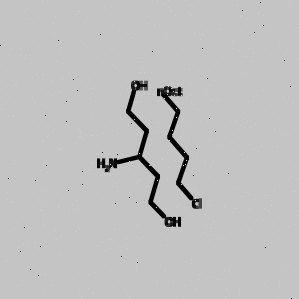 CCCCCCCCCCCCCl.NC(CCO)CCO